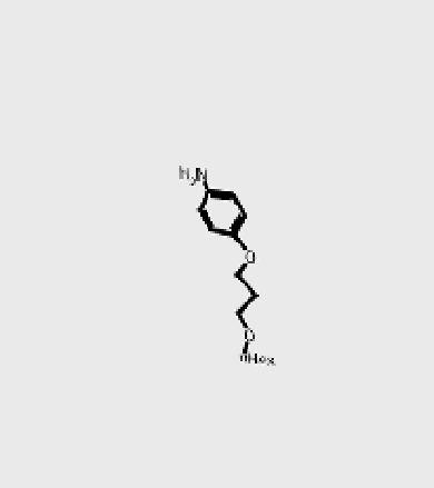 CCCCCCOCCCOc1ccc(N)cc1